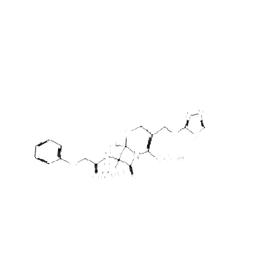 COC1(NC(=O)COc2ccccc2)C(=O)N2C(C(=O)O)=C(CSc3nncs3)CS[C@H]21